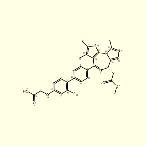 COC(=O)C[C@@H]1N=C(c2ccc(-c3ccc(OCC(=O)O)cc3F)cc2)c2c(sc(C)c2C)-n2c(C)nnc21